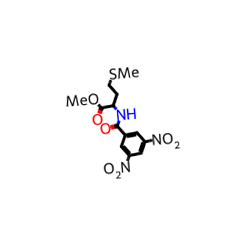 COC(=O)C(CCSC)NC(=O)c1cc([N+](=O)[O-])cc([N+](=O)[O-])c1